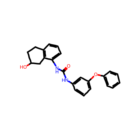 O=C(Nc1cccc(Oc2ccccc2)c1)Nc1cccc2c1CC(O)CC2